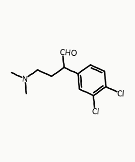 CN(C)CCC(C=O)c1ccc(Cl)c(Cl)c1